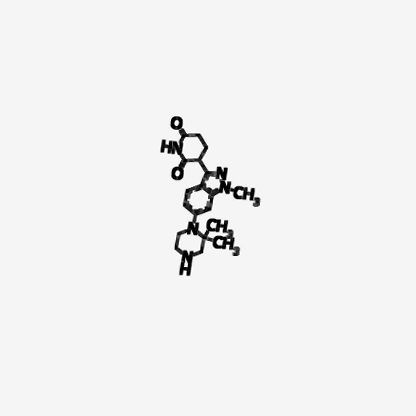 Cn1nc(C2CCC(=O)NC2=O)c2ccc(N3CCNCC3(C)C)cc21